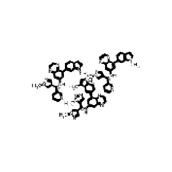 Cc1coc2ccc(-c3cc(N[C@@H](c4cnn(C)c4)c4cnnn4C)cc4nccnc34)cc12.Cn1cc([C@@H](Nc2cc(-c3ccc4ccn(C)c4c3)c3nccnc3c2)c2cccnc2)cn1.Cn1cc([C@H](Nc2cc(-c3ccc4ccn(C)c4c3)c3nccnc3c2)c2cccnc2)cn1